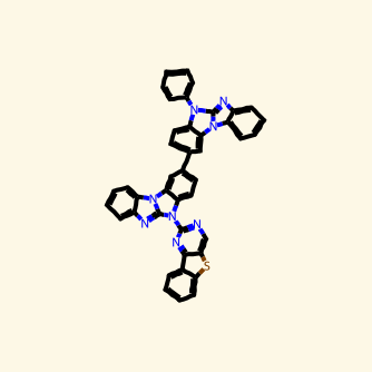 c1ccc(-n2c3ccc(-c4ccc5c(c4)n4c6ccccc6nc4n5-c4ncc5sc6ccccc6c5n4)cc3n3c4ccccc4nc23)cc1